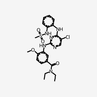 CCN(CC)C(=O)c1ccc(OC)c(Nc2ncc(Cl)c(Nc3ccccc3NS(C)(=O)=O)n2)c1